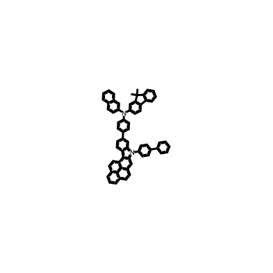 CC1(C)c2ccccc2-c2ccc(N(c3ccc(-c4ccc5c6c7ccc8cccc9ccc(cc6n(-c6ccc(-c%10ccccc%10)cc6)c5c4)c7c98)cc3)c3ccc4ccccc4c3)cc21